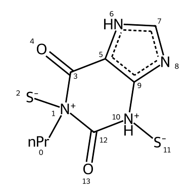 CCC[N+]1([S-])C(=O)c2[nH]cnc2[NH+]([S-])C1=O